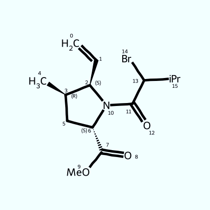 C=C[C@@H]1[C@H](C)C[C@@H](C(=O)OC)N1C(=O)C(Br)C(C)C